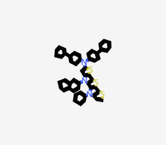 c1ccc(-c2ccc(N(c3ccc(-c4ccccc4)cc3)c3cc4c(s3)c3sc5c6sccc6n(-c6ccccc6)c5c3n4-c3ccc4ccccc4c3)cc2)cc1